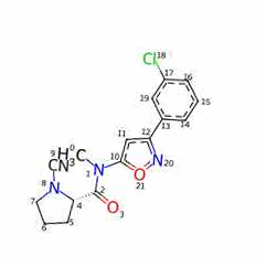 CN(C(=O)[C@@H]1CCCN1C#N)c1cc(-c2cccc(Cl)c2)no1